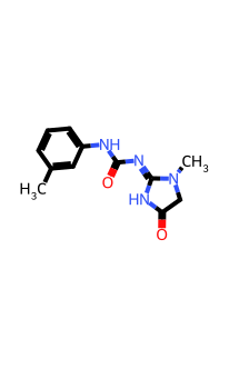 Cc1cccc(NC(=O)/N=C2\NC(=O)CN2C)c1